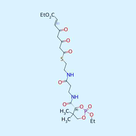 CCOC(=O)/C=C/C(=O)CC(=O)CC(=O)SCCNC(=O)CCNC(=O)[C@@H]1OP(=O)(OCC)OCC1(C)C